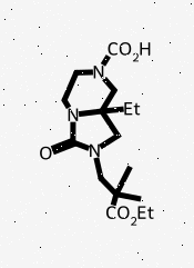 CCOC(=O)C(C)(C)CN1CC2(CC)CN(C(=O)O)CCN2C1=O